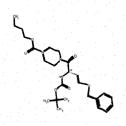 CCCCOC(=O)N1CCN(C(=O)[C@H](CCOCc2ccccc2)NC(=O)OC(C)(C)C)CC1